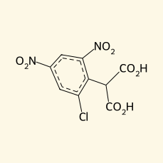 O=C(O)C(C(=O)O)c1c(Cl)cc([N+](=O)[O-])cc1[N+](=O)[O-]